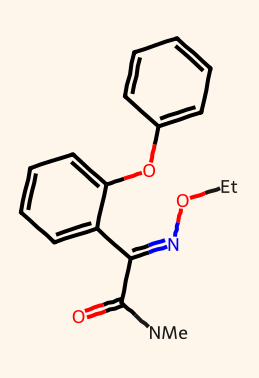 CCO/N=C(/C(=O)NC)c1ccccc1Oc1ccccc1